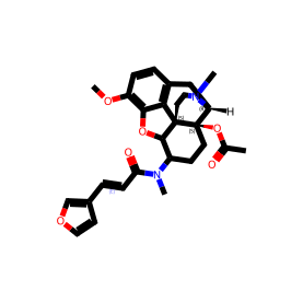 COc1ccc2c3c1OC1C(N(C)C(=O)/C=C/c4ccoc4)CC[C@@]4(OC(C)=O)[C@@H](C2)N(C)CC[C@]314